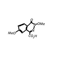 COc1ccc2c(=O)n(OC)nc(C(=O)O)c2c1